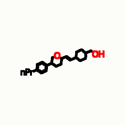 CCCc1ccc(C2CCC(/C=C/C3CCC(CO)CC3)OC2)cc1